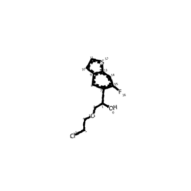 OC(COCCCl)c1cc2ccsc2cc1F